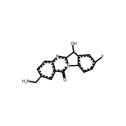 NCc1ccc2nc3n(c(=O)c2c1)-c1ccc(F)cc1C3O